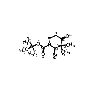 CC(C)(C)OC(=O)N1CCC(=O)C(C)(C)C1Br